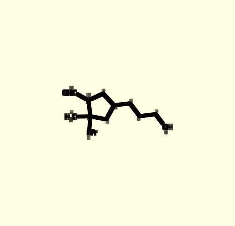 CCCC1(C)CC(CCCO)CN1C=O